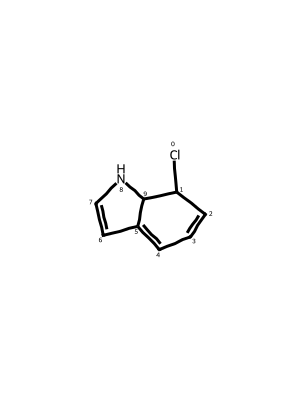 ClC1C=CC=C2C=CNC21